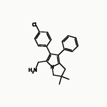 CC1(C)Cc2c(-c3ccccc3)c(-c3ccc(Cl)cc3)c(CN)n2C1